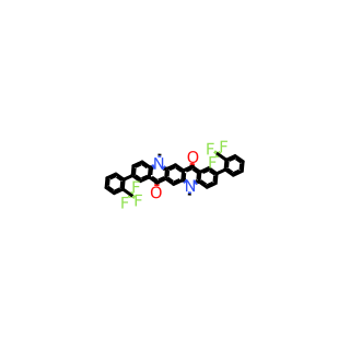 Cn1c2ccc(-c3ccccc3C(F)(F)F)cc2c(=O)c2cc3c(cc21)c(=O)c1cc(-c2ccccc2C(F)(F)F)ccc1n3C